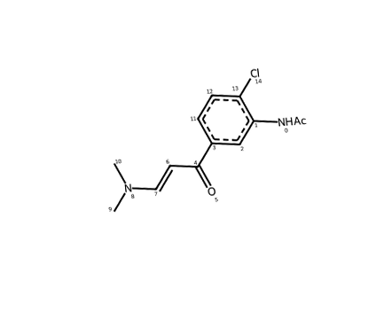 CC(=O)Nc1cc(C(=O)C=CN(C)C)ccc1Cl